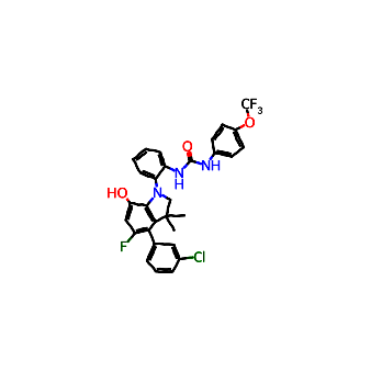 CC1(C)CN(c2ccccc2NC(=O)Nc2ccc(OC(F)(F)F)cc2)c2c(O)cc(F)c(-c3cccc(Cl)c3)c21